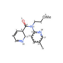 COCCN(C(=O)C1C=CC=NC1)c1ccc(C)cn1